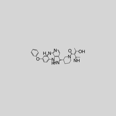 CC(=N)/C(C(=O)N1CCC[C@@H](C(=N)c2ccnc(N)c2Nc2ccc(Oc3ccccc3)cc2)C1)=C(/C)O